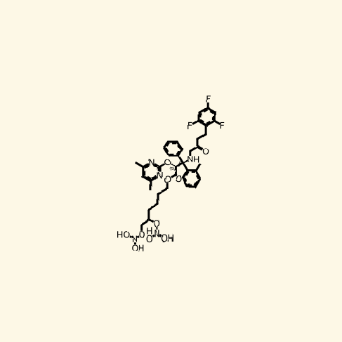 Cc1cc(C)nc(O[C@H](C(=O)OCCCCC(CON(O)O)ON(O)O)[C@](NCC(=O)CCc2c(F)cc(F)cc2F)(c2ccccc2)c2ccccc2C)n1